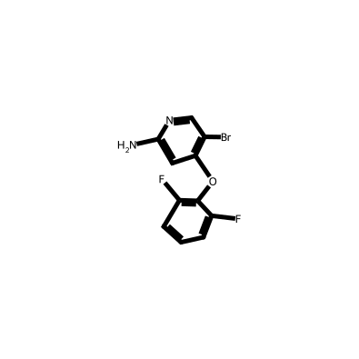 Nc1cc(Oc2c(F)cccc2F)c(Br)cn1